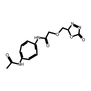 CC(=O)NC1=C/C=C\C(NC(=O)COCC2N=NC(=O)O2)=C/C=C\1